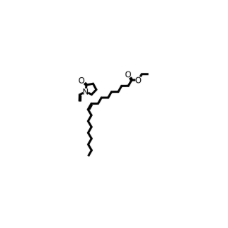 C=CN1CCCC1=O.CCCCCCCC/C=C\CCCCCCCC(=O)OCC